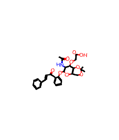 CC(=O)NC1C(Oc2ccccc2C(=O)/C=C/c2ccccc2)OC2COC(C)(C)OC2C1OCC(=O)O